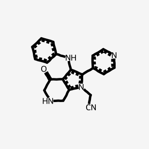 N#CCn1c2c(c(Nc3ccccc3)c1-c1ccncc1)C(=O)CNC2